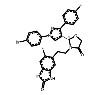 O=C1CO[C@@H](c2cn(-c3ccc(Br)cc3)nc2-c2ccc(F)cc2)N1CCc1cc2[nH]c(=O)[nH]c2cc1F